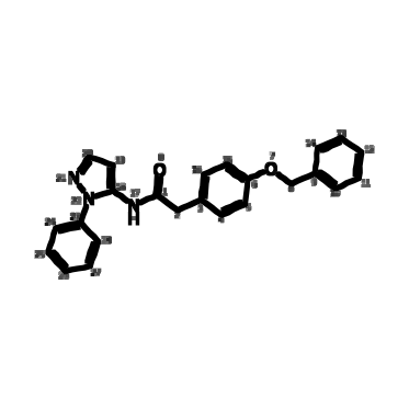 O=C(Cc1ccc(OCc2ccccc2)cc1)Nc1ccnn1-c1ccccc1